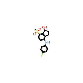 CS(=O)(=O)c1ccc(Nc2ccc(F)cc2)c2c1C(O)CC2